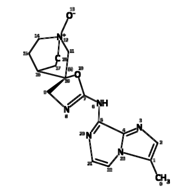 Cc1cnc2c(NC3=NC[C@@]4(C[N+]5([O-])CCC4CC5)O3)nccn12